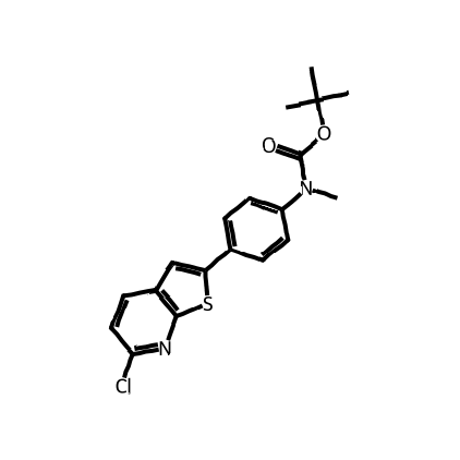 CN(C(=O)OC(C)(C)C)c1ccc(-c2cc3ccc(Cl)nc3s2)cc1